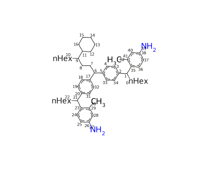 CCCCCCC(c1ccc(C(CCC(CCCCCC)C2CCCCC2)c2ccc(C(CCCCCC)c3ccc(N)cc3C)cc2)cc1)c1ccc(N)cc1C